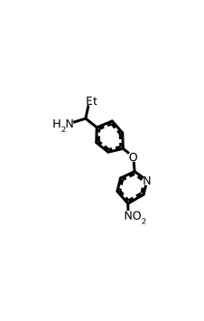 CCC(N)c1ccc(Oc2ccc([N+](=O)[O-])cn2)cc1